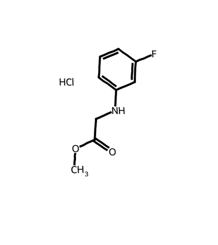 COC(=O)CNc1cccc(F)c1.Cl